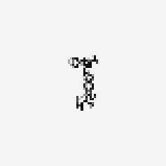 CC(C)c1cc(CN2CCC3(CCN(C(=O)OC(C(F)(F)F)C(F)(F)F)CC3)C2)n(C2CCOCC2)n1